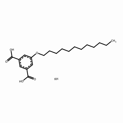 CCCCCCCCCCCCOc1cc(C(=O)O)cc(C(=O)O)c1.[KH]